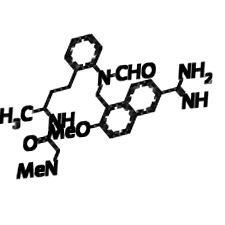 CNCC(=O)NC(C)CCc1ccccc1N(C=O)Cc1c(OC)ccc2cc(C(=N)N)ccc12